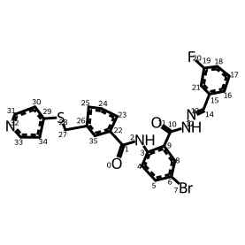 O=C(Nc1ccc(Br)cc1C(=O)NN=Cc1cccc(F)c1)c1cccc(CSc2ccncc2)c1